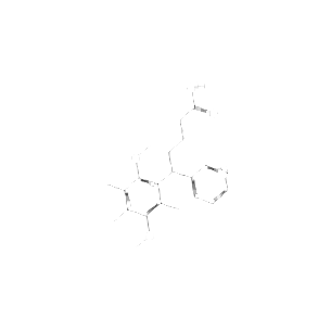 COc1c(C)c(C)c(OC)c(C(CCCC(=O)O)c2cccnc2)c1C